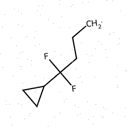 [CH2]CCC(F)(F)C1CC1